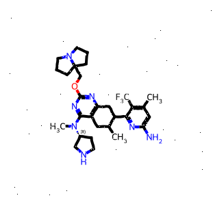 Cc1cc(N)nc(C2Cc3nc(OCC45CCCN4CCC5)nc(N(C)[C@@H]4CCNC4)c3CC2C)c1C(F)(F)F